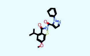 COc1cc(C(C)C)c2c(=O)n(C(=O)c3ccnn3-c3ccccc3)sc2c1